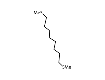 CSCCCCCCCCSC